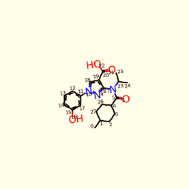 CC1CCC(C(=O)N(c2nn(-c3cccc(O)c3)cc2C(=O)O)C(C)C)CC1